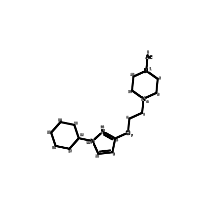 CC(=O)N1CCN(CCOc2ccn(C3CCCCC3)n2)CC1